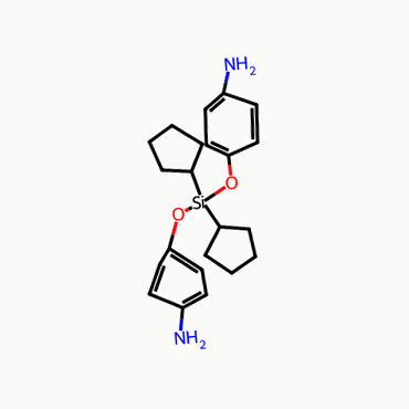 Nc1ccc(O[Si](Oc2ccc(N)cc2)(C2CCCC2)C2CCCC2)cc1